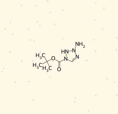 CC(C)(C)OC(=O)N1C=NN(N)N1